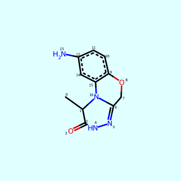 CC1C(=O)NN=C2COc3ccc(N)cc3N21